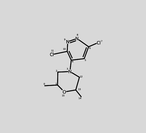 CC1CN(c2cc(Cl)nnc2Cl)CC(C)O1